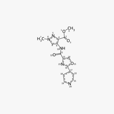 COC(=O)c1nn(C)cc1NC(=O)c1coc(-c2ccncc2)n1